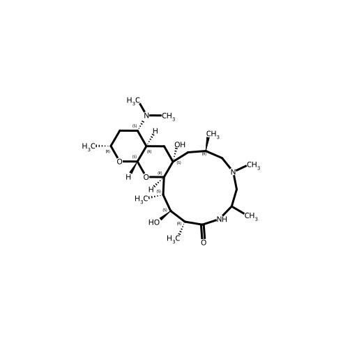 CC1CN(C)C[C@H](C)C[C@]2(O)C[C@H]3[C@@H](O[C@H](C)C[C@@H]3N(C)C)O[C@@H]2[C@@H](C)[C@H](O)[C@@H](C)C(=O)N1